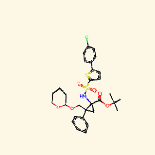 CC(C)(C)OC(=O)C1(NS(=O)(=O)c2ccc(-c3ccc(Cl)cc3)s2)CC1(COC1CCCCO1)c1ccccc1